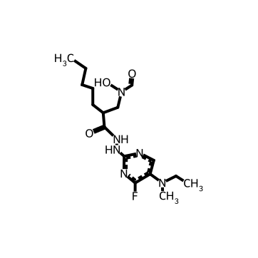 CCCCCC(CN(O)C=O)C(=O)NNc1ncc(N(C)CC)c(F)n1